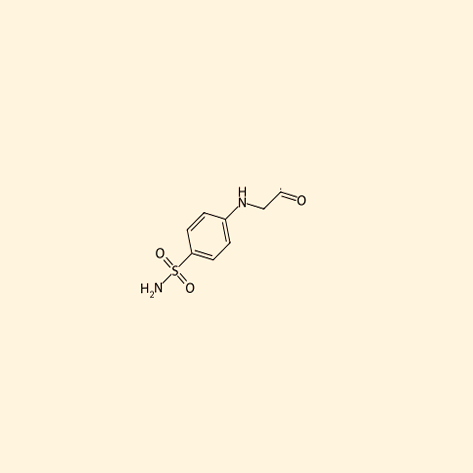 NS(=O)(=O)c1ccc(NC[C]=O)cc1